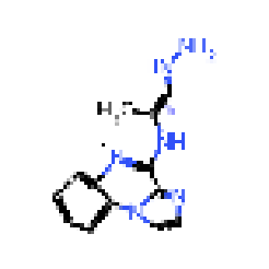 C/C(=C\NN)Nc1nc2ccccc2n2ccnc12